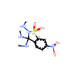 CNN1C(NC)(NC)c2ccc([N+](=O)[O-])cc2S1(=O)=O